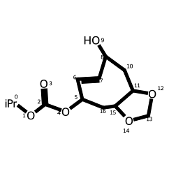 CC(C)OC(=O)OC1/C=C/C(O)CC2OCOC2C1